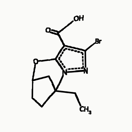 CCC12CCC(C1)Oc1c(C(=O)O)c(Br)nn12